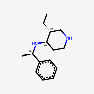 CC[C@@H]1CNCC[C@H]1N[C@H](C)c1ccccc1